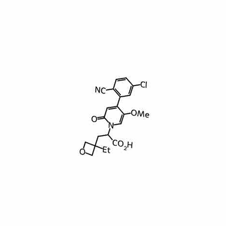 CCC1(CC(C(=O)O)n2cc(OC)c(-c3cc(Cl)ccc3C#N)cc2=O)COC1